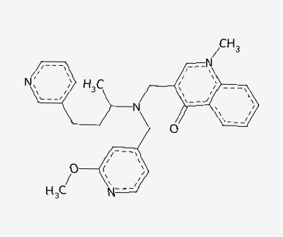 COc1cc(CN(Cc2cn(C)c3ccccc3c2=O)C(C)CCc2cccnc2)ccn1